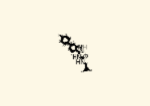 Cc1ccc(-c2ccc3c(NC(=O)NCC4CC4)n[nH]c3c2)cc1